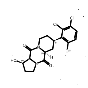 O=C1[C@@H]2C[C@H](c3c(O)ccc(Cl)c3Cl)CCN2C(=O)C2[C@H](O)CCN12